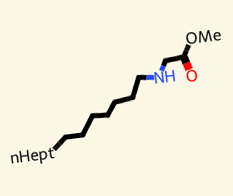 CCCCCCCCCCCCCCNCC(=O)OC